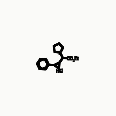 CCOC(=O)C(C1CC1c1ccccc1)N1CCCC1.Cl